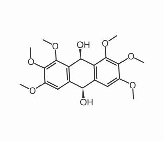 COc1cc2c(c(OC)c1OC)[C@H](O)c1c(OC)c(OC)c(OC)cc1[C@@H]2O